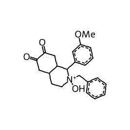 COc1cccc(C2C3CC(=O)C(=O)CC3CC[N+]2(O)Cc2ccccc2)c1